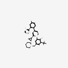 C[C@H]1CCCN(Cc2cc(N3CC=C(c4ccc(F)cc4-c4nncn4C)C=C3C3CC3)c(N)c(C(F)(F)F)c2)C1